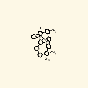 Cc1ccc(-c2ccc3c4ccccc4n(-c4cc(-c5cccc(-c6ccccc6)n5)cc(-n5c6ccccc6c6ccc(-c7ccc(C)cc7C)cc65)c4C(F)(F)F)c3c2)c(C)c1